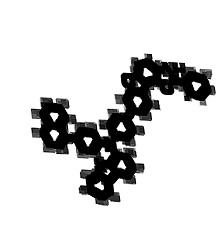 c1ccc(C2Nc3ccc4oc5cc(-c6ccc(N(c7ccc(-c8cccc9ccccc89)cc7)c7cccc8c7sc7ccccc78)cc6)ccc5c4c3O2)cc1